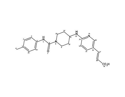 Cc1ccc(NC(=O)N2CCC(Nc3ccc(C=CC(=O)O)cn3)CC2)cc1